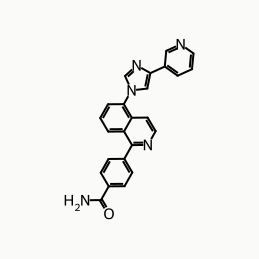 NC(=O)c1ccc(-c2nccc3c(-n4cnc(-c5cccnc5)c4)cccc23)cc1